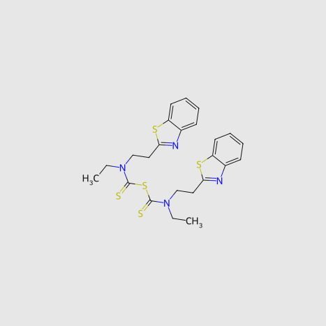 CCN(CCc1nc2ccccc2s1)C(=S)SC(=S)N(CC)CCc1nc2ccccc2s1